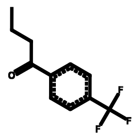 CCCC(=O)c1ccc(C(F)(F)F)cc1